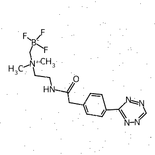 C[N+](C)(CCNC(=O)Cc1ccc(-c2nncnn2)cc1)C[B-](F)(F)F